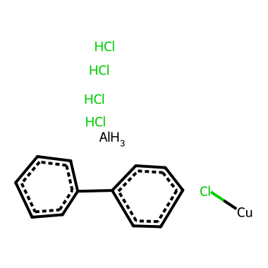 Cl.Cl.Cl.Cl.[AlH3].[Cl][Cu].c1ccc(-c2ccccc2)cc1